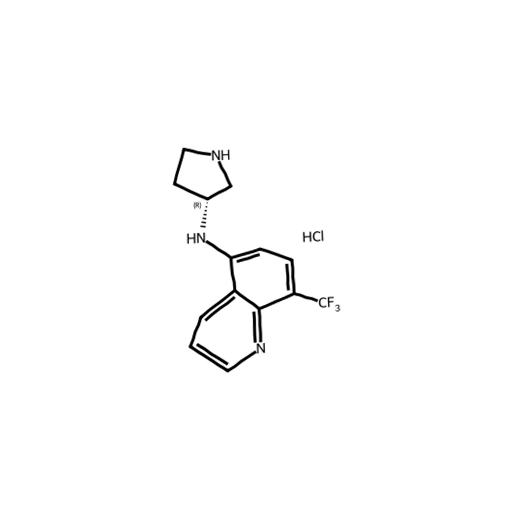 Cl.FC(F)(F)c1ccc(N[C@@H]2CCNC2)c2cccnc12